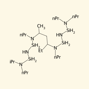 CCCN(CCC)[SiH2]N[SiH2]N(CCC)C(CC)CC(C)N(CCC)[SiH2]N[SiH2]N(CCC)C(C)C